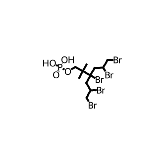 CC(C)(COP(=O)(O)O)C(Br)(CC(Br)CBr)CC(Br)CBr